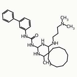 CC1NC(NC(=O)Nc2cccc(-c3ccccc3)c2)NC(NCCCN(C)C)C12CCCCCCCCC2